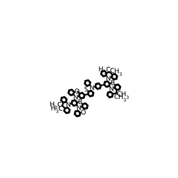 CC1(C)c2ccccc2N(c2cc3c4c(c2)N2c5ccccc5Oc5cc(-c6cccc7c6Sc6ccccc6N7c6ccc(-c7cc8c9c(c7)N7c%10ccccc%10C(C)(C)c%10cccc(c%107)B9c7cccc9c7N8c7ccccc7C9(C)C)cc6)cc(c52)B4c2cccc4c2N3c2ccccc2O4)c2ccccc21